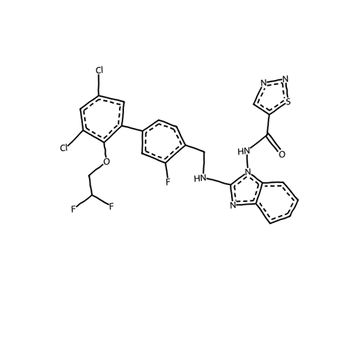 O=C(Nn1c(NCc2ccc(-c3cc(Cl)cc(Cl)c3OCC(F)F)cc2F)nc2ccccc21)c1cnns1